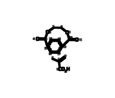 C=C(C)C(=O)O.O=C1OCCOC(=O)c2ccc1cc2